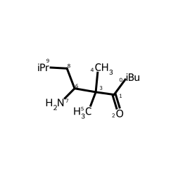 CCC(C)C(=O)C(C)(C)C(N)CC(C)C